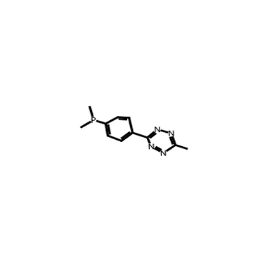 Cc1nnc(-c2ccc(P(C)C)cc2)nn1